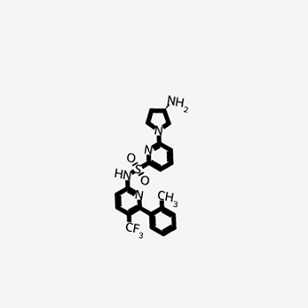 Cc1ccccc1-c1nc(NS(=O)(=O)c2cccc(N3CC[C@H](N)C3)n2)ccc1C(F)(F)F